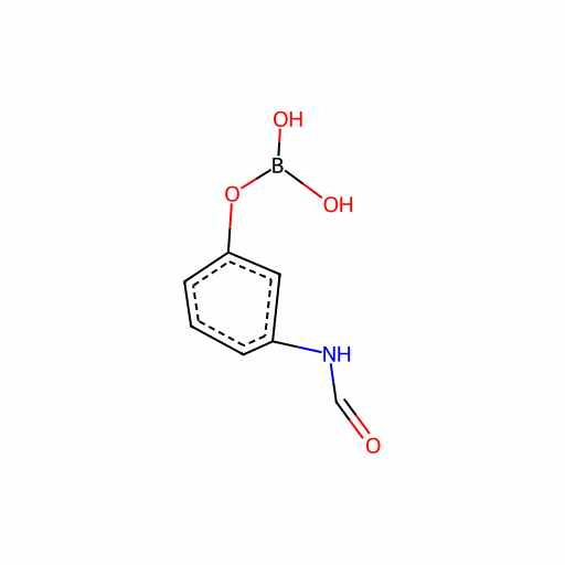 O=CNc1cccc(OB(O)O)c1